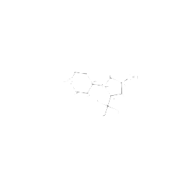 CC(C)(C)C1C[C@H](O)CN1C1CCOCC1